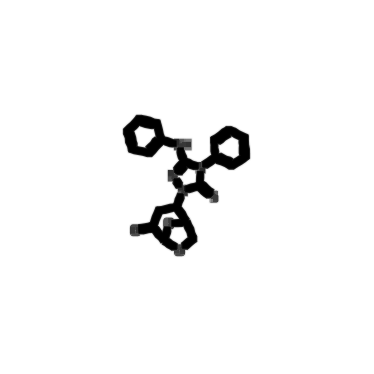 O=C1CC(n2nc(Nc3ccccc3)n(-c3ccccc3)c2=S)C2COC1O2